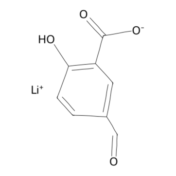 O=Cc1ccc(O)c(C(=O)[O-])c1.[Li+]